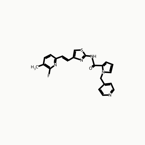 Cc1ccc(/C=C/c2csc(NC(=O)c3cccn3Cc3ccncc3)n2)nc1F